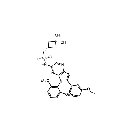 CCOc1cccc(-c2nc3ncc(NS(=O)(=O)C[C@H]4C[C@](C)(O)C4)nc3n2-c2c(OC)cccc2OC)n1